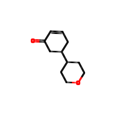 O=C1C=CCC(C2CCOCC2)C1